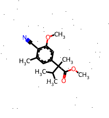 COC(=O)C(C)(c1cc(C)c(C#N)c(OC)c1)C(C)C